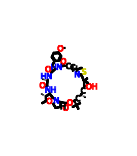 CC[C@H](C)[C@@H]1NC(=O)[C@H](C)NC(=O)[C@H](Cc2ccc(OC)cc2)NC(=O)CC[C@@H]2CSC(=N2)C(C)(C)[C@@H](O)C[C@H](C)C[C@@H](C(C)(C)C)OC(=O)[C@@H]2CCCN2C1=O